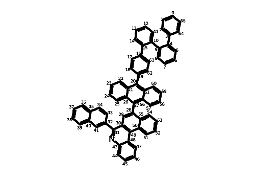 c1ccc(-c2ccccc2-c2ccccc2-c2ccc(-c3c4ccccc4c(-c4cc5c(-c6ccc7ccccc7c6)nc6ccccc6c5c5ccccc45)c4ccccc34)cc2)cc1